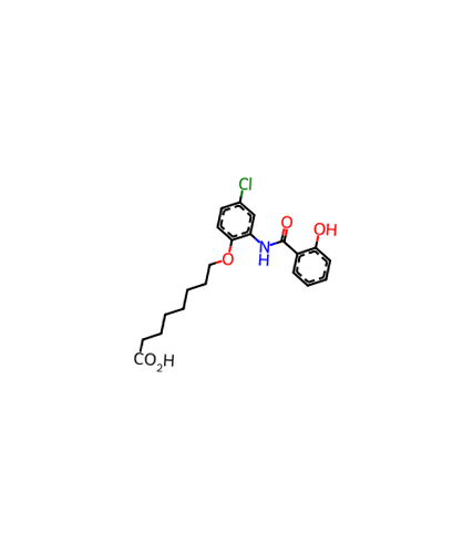 O=C(O)CCCCCCCOc1ccc(Cl)cc1NC(=O)c1ccccc1O